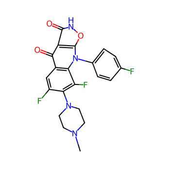 CN1CCN(c2c(F)cc3c(=O)c4c(=O)[nH]oc4n(-c4ccc(F)cc4)c3c2F)CC1